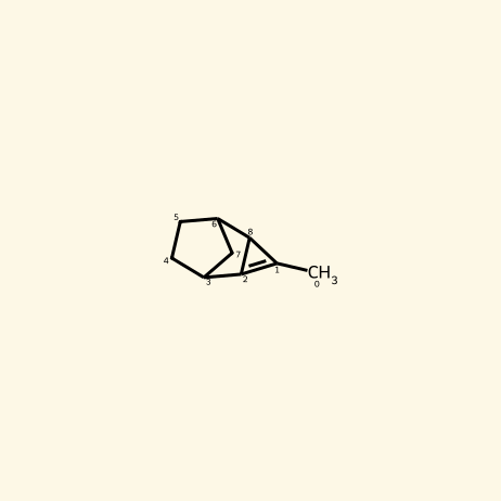 CC1=C2C3CCC(C3)C12